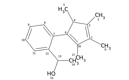 CC1=C(C)C(C)C(c2ccccc2C(C)O)=C1C